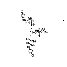 N=C(NCCCCCCNC(=N)NC(=N)Nc1ccc(Cl)cc1)NC(=N)Nc1ccc(Cl)cc1.O=P(O)(O)F.O=P(O)(O)F